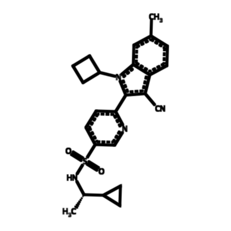 Cc1ccc2c(C#N)c(-c3ccc(S(=O)(=O)N[C@@H](C)C4CC4)cn3)n(C3CCC3)c2c1